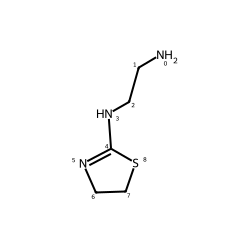 NCCNC1=NCCS1